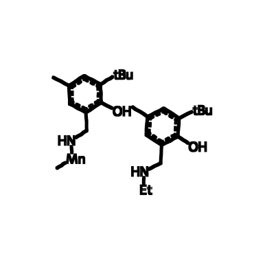 CCNCc1cc(C)cc(C(C)(C)C)c1O.[CH3][Mn][NH]Cc1cc(C)cc(C(C)(C)C)c1O